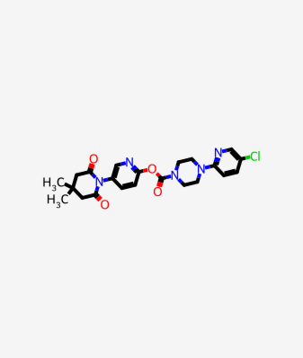 CC1(C)CC(=O)N(c2ccc(OC(=O)N3CCN(c4ccc(Cl)cn4)CC3)nc2)C(=O)C1